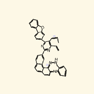 C=Cc1nc(-c2ccc3ccc4c(c3c2)/C(=N/Nc2ccccc2)C(=N)C=C4)nc(-c2ccc3c(c2)oc2ccccc23)c1/C=C\C